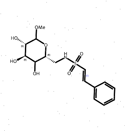 COC1O[C@H](CNS(=O)(=O)/C=C/c2ccccc2)C(O)[C@@H](O)[C@@H]1O